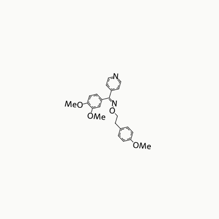 COc1ccc(CCON=C(c2ccncc2)c2ccc(OC)c(OC)c2)cc1